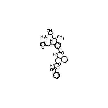 CC(C)CCN(C)c1ccc(C(=O)NC(CC(=O)NS(=O)(=O)c2ccccc2)C2CCCCC2)cc1NCc1ccco1